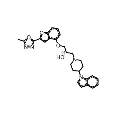 Cc1nnc(-c2cc3c(OC[C@@H](O)CN4CCC(n5ccc6ccccc65)CC4)cccc3o2)o1